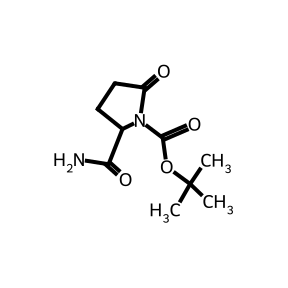 CC(C)(C)OC(=O)N1C(=O)CCC1C(N)=O